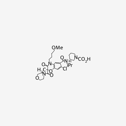 COCCCCN1C(=O)C(C)(C(=O)N2CCOCC2)Oc2cc(Cl)c(C(=O)N(C(C)C)[C@@H]3CCCN(C(=O)O)C3)cc21